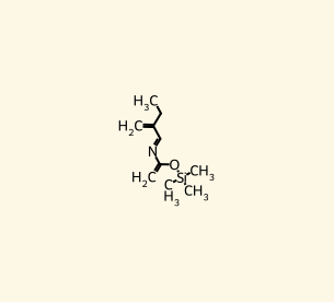 C=C(/C=N/C(=C)O[Si](C)(C)C)CC